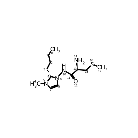 CCCC[C@H]1N(C)C=CN1NC(=O)[C@@H](N)CSC